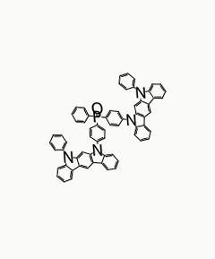 O=P(c1ccccc1)(c1ccc(-n2c3ccccc3c3cc4c5ccccc5n(-c5ccccc5)c4cc32)cc1)c1ccc(-n2c3ccccc3c3cc4c5ccccc5n(-c5ccccc5)c4cc32)cc1